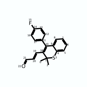 CC1(C)Sc2ccccc2C(c2ccc(F)cc2)=C1C=CC=O